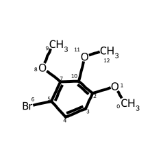 COc1c[c]c(Br)c(OC)c1OC